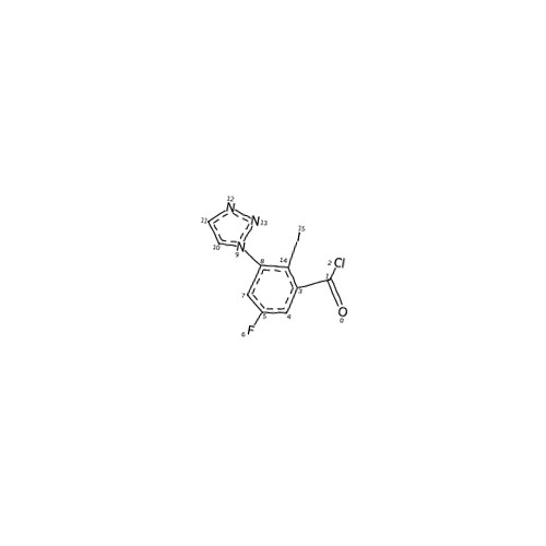 O=C(Cl)c1cc(F)cc(-n2ccnn2)c1I